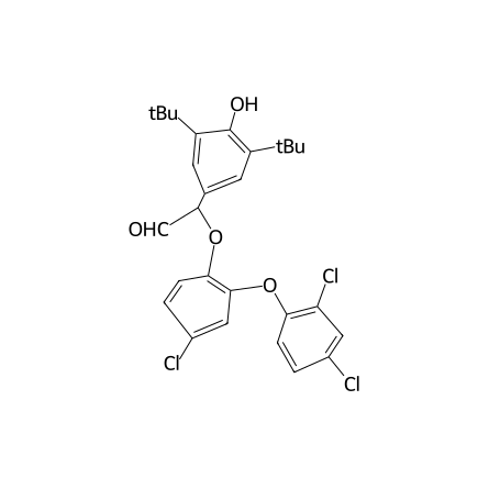 CC(C)(C)c1cc(C(C=O)Oc2ccc(Cl)cc2Oc2ccc(Cl)cc2Cl)cc(C(C)(C)C)c1O